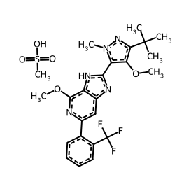 COc1c(C(C)(C)C)nn(C)c1-c1nc2cc(-c3ccccc3C(F)(F)F)nc(OC)c2[nH]1.CS(=O)(=O)O